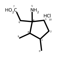 CC1CCC(N)(CC(=O)O)C1C.Cl